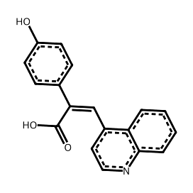 O=C(O)C(=Cc1ccnc2ccccc12)c1ccc(O)cc1